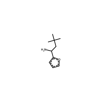 CC(C)(C)CC(N)c1ccco1